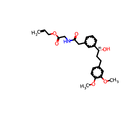 C=CCOC(=O)CNC(=O)Cc1cccc([C@H](O)CCc2ccc(OC)c(OC)c2)c1